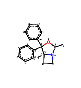 CB1OC(c2ccccc2)(c2ccccc2)[C@@H]2CCN12